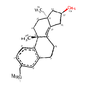 COc1ccc2c(c1)CCC1=C3C[C@H](O)C[C@]3(C)CC[C@]12C